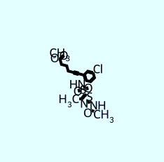 COC(=O)CCCC#Cc1cc(Cl)ccc1NS(=O)(=O)c1sc(NC(C)=O)nc1C